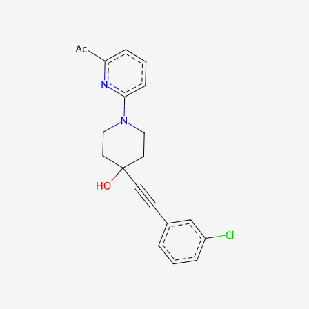 CC(=O)c1cccc(N2CCC(O)(C#Cc3cccc(Cl)c3)CC2)n1